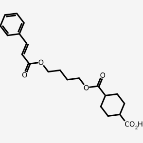 O=C(C=Cc1ccccc1)OCCCCOC(=O)C1CCC(C(=O)O)CC1